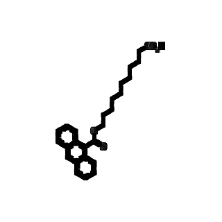 O=C(O)CCCCCCCCCCOC(=O)c1c2ccccc2cc2ccccc12